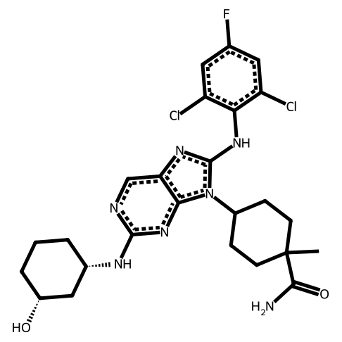 CC1(C(N)=O)CCC(n2c(Nc3c(Cl)cc(F)cc3Cl)nc3cnc(N[C@H]4CCC[C@@H](O)C4)nc32)CC1